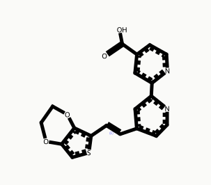 O=C(O)c1ccnc(-c2cc(/C=C/c3scc4c3OCCO4)ccn2)c1